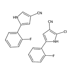 N#Cc1c[nH]c(-c2ccccc2F)c1.N#Cc1cc(-c2ccccc2F)[nH]c1Cl